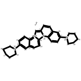 [I-].c1cc2c(ccc3c[n+]4c5ccc(N6CCCCC6)cc5ccc4n32)cc1N1CCCCC1